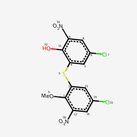 COc1c(Sc2cc(Cl)cc([N+](=O)[O-])c2O)cc(Cl)cc1[N+](=O)[O-]